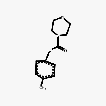 Cc1ccc(OC(=O)N2CC[N]CC2)cc1